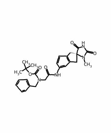 CN1C(=O)NC(=O)[C@@]12Cc1ccc(NC(=O)CN(Cc3ccccc3)C(=O)OC(C)(C)C)cc1C2